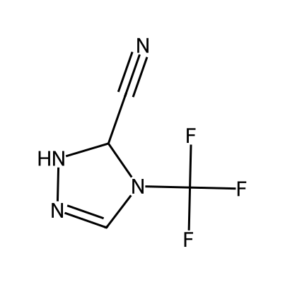 N#CC1NN=CN1C(F)(F)F